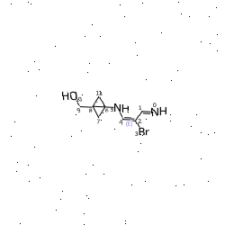 N=C/C(Br)=C\NC12CC1(CO)C2